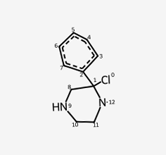 ClC1(c2ccccc2)CNCC[N]1